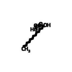 CCCCCCCCCCCC(CC(=O)O)P(=O)(O)O